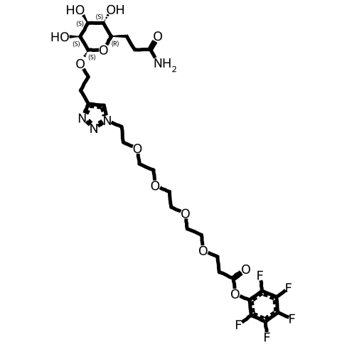 NC(=O)CC[C@H]1O[C@H](OCCc2cn(CCOCCOCCOCCOCCC(=O)Oc3c(F)c(F)c(F)c(F)c3F)nn2)[C@@H](O)[C@@H](O)[C@@H]1O